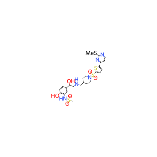 CSc1nccc(-c2ccc(S(=O)(=O)N3CCC(CNC[C@H](O)c4ccc(O)c(NS(C)(=O)=O)c4)CC3)s2)n1